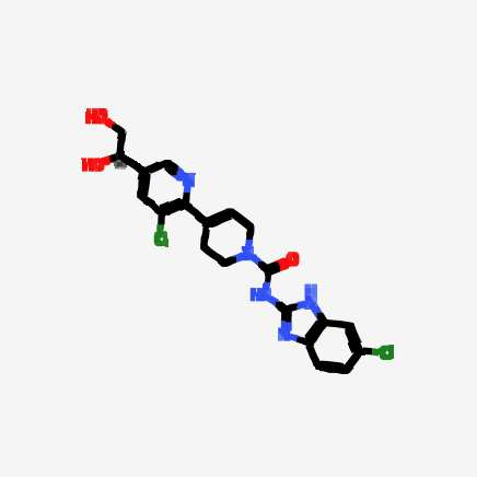 O=C(Nc1nc2ccc(Cl)cc2[nH]1)N1CC=C(c2ncc([C@@H](O)CO)cc2Cl)CC1